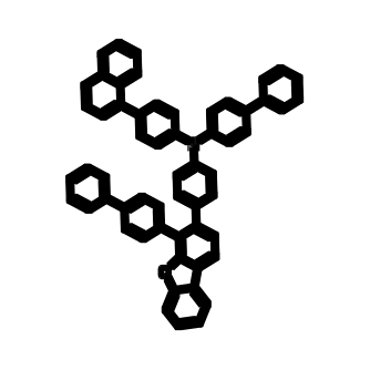 c1ccc(-c2ccc(-c3c(-c4ccc(N(c5ccc(-c6ccccc6)cc5)c5ccc(-c6cccc7ccccc67)cc5)cc4)ccc4c3oc3ccccc34)cc2)cc1